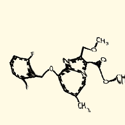 COCc1nc2c(OCc3c(F)cccc3F)cc(C)cn2c1C(=O)OC